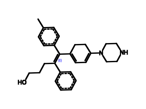 Cc1ccc(/C(C2=CC=C(N3CCNCC3)CC2)=C(\CCCO)c2ccccc2)cc1